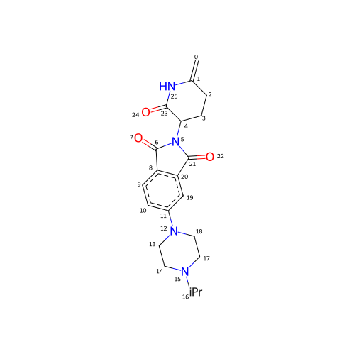 C=C1CCC(N2C(=O)c3ccc(N4CCN(C(C)C)CC4)cc3C2=O)C(=O)N1